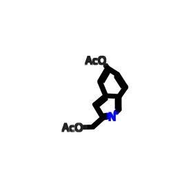 CC(=O)OCc1cc2cc(OC(C)=O)ccc2cn1